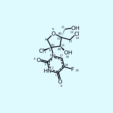 O=c1[nH]c(=O)n([C@]2(Cl)CO[C@@](CO)(CCl)[C@H]2O)cc1F